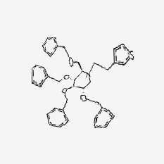 c1ccc(COC[C@@H]2[C@@H](OCc3ccccc3)[C@H](OCc3ccccc3)[C@@H](OCc3ccccc3)CN2CCc2ccsc2)cc1